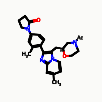 CC(=O)N1CCO[C@@H](Cc2c(-c3ccc(N4CCCC4=O)cc3C)nc3cc(C)ccn23)C1